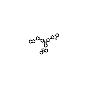 c1cc(-c2ccc(N(c3ccc(-c4ccc5c(c4)sc4ccccc45)cc3)c3ccc(-c4cccc5c4oc4ccccc45)cc3)cc2)cc(-c2ccc3ccccc3c2)c1